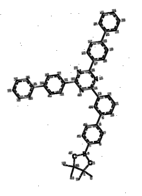 CC1(C)OB(c2ccc(-c3cccc(-c4nc(-c5ccc(-c6ccccc6)cc5)nc(-c5ccc(-c6ccccc6)cc5)n4)c3)cc2)OC1(C)C